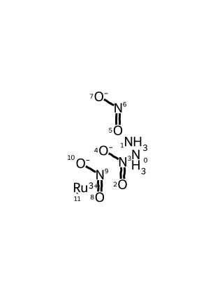 N.N.O=N[O-].O=N[O-].O=N[O-].[Ru+3]